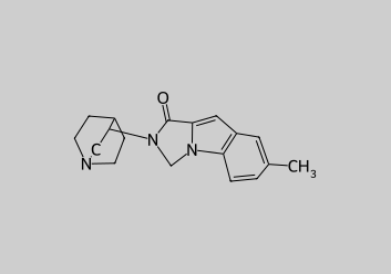 Cc1ccc2c(c1)cc1n2CN(C2CN3CCC2CC3)C1=O